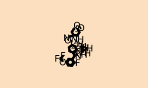 [2H]C([2H])([2H])C([2H])(n1nc(-c2cc(OC(F)F)ccc2F)c2c1C[C@H](C(=O)NC1(C#N)CCS(=O)(=O)CC1)CC2)C([2H])([2H])[2H]